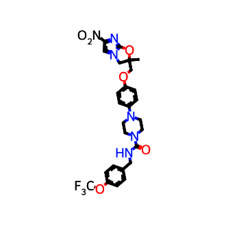 CC1(COc2ccc(N3CCN(C(=O)NCc4ccc(OC(F)(F)F)cc4)CC3)cc2)Cn2cc([N+](=O)[O-])nc2O1